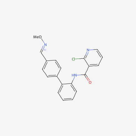 CO/N=C/c1ccc(-c2ccccc2NC(=O)c2cccnc2Cl)cc1